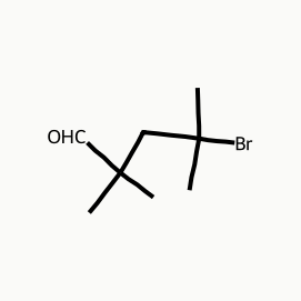 CC(C)(Br)CC(C)(C)C=O